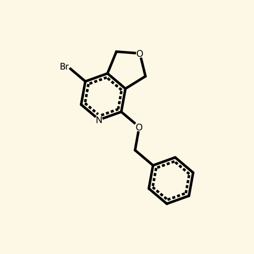 Brc1cnc(OCc2ccccc2)c2c1COC2